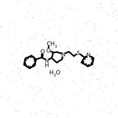 COC1CN(CCSc2ccccn2)CCC1NC(=O)c1ccccc1.O